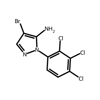 Nc1c(Br)cnn1-c1ccc(Cl)c(Cl)c1Cl